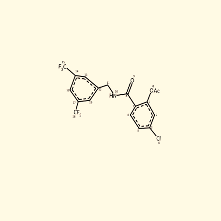 CC(=O)Oc1cc(Cl)ccc1C(=O)NCc1cc(C(F)(F)F)cc(C(F)(F)F)c1